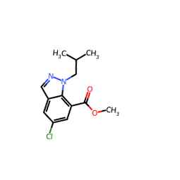 COC(=O)c1cc(Cl)cc2cnn(CC(C)C)c12